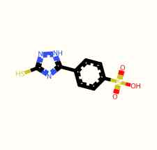 O=S(=O)(O)c1ccc(-c2nc(S)n[nH]2)cc1